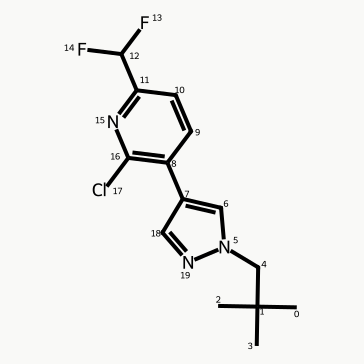 CC(C)(C)Cn1cc(-c2ccc(C(F)F)nc2Cl)cn1